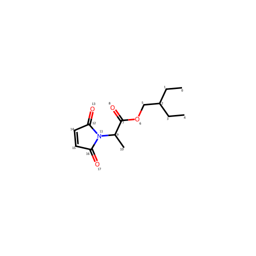 CCC(CC)COC(=O)C(C)N1C(=O)C=CC1=O